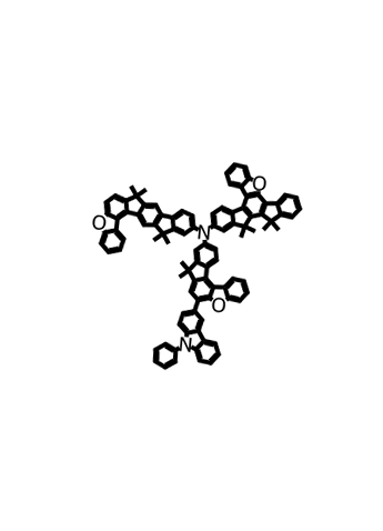 CC1(C)c2cc(N(c3ccc4c(c3)C(C)(C)c3cc(-c5ccc6c(c5)c5ccccc5n6-c5ccccc5)c5oc6ccccc6c5c3-4)c3ccc4c(c3)C(C)(C)c3c5c(c6oc7ccccc7c6c3-4)-c3ccccc3C5(C)C)ccc2-c2cc3c(cc21)-c1c(ccc2oc4ccccc4c12)C3(C)C